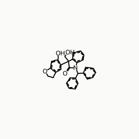 O=C1N(C(c2ccccc2)c2ccccc2)c2ccccc2C1(CO)c1cc2c(cc1O)OCC2